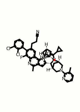 Cc1cccnc1N1C[C@@H]2C[C@H](C1)N(C(=O)C1CC1)[C@H]2c1cc2c(C)nc3c(F)c(-c4cccc(Cl)c4Cl)c(CCC#N)cc3c2n1[C@H]1[C@H]2CN[C@@H]1C2